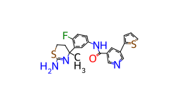 CC1(c2cc(NC(=O)c3cncc(-c4cccs4)c3)ccc2F)CCSC(N)=N1